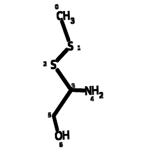 CSSC(N)CO